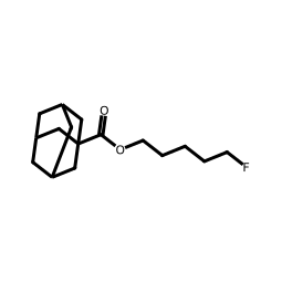 O=C(OCCCCCF)C12CC3CC(CC(C3)C1)C2